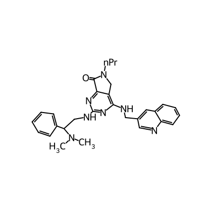 CCCN1Cc2c(NCc3cnc4ccccc4c3)nc(NCC(c3ccccc3)N(C)C)nc2C1=O